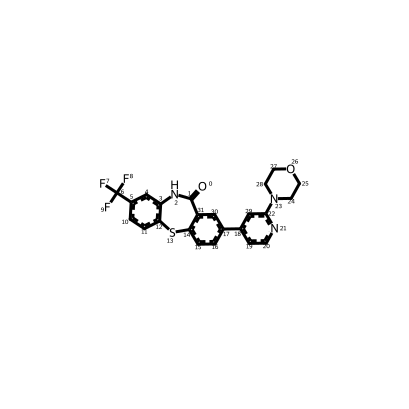 O=C1Nc2cc(C(F)(F)F)ccc2Sc2ccc(-c3ccnc(N4CCOCC4)c3)cc21